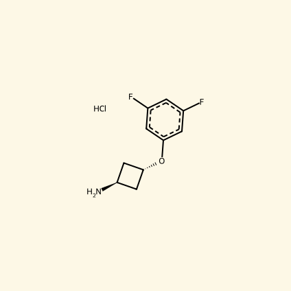 Cl.N[C@H]1C[C@H](Oc2cc(F)cc(F)c2)C1